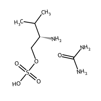 CC(C)[C@H](N)COS(=O)(=O)O.NC(N)=O